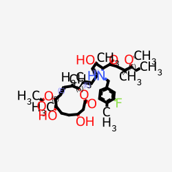 CC[C@H](OC)[C@@H](C)C1OC1C(NCc1ccc(C)c(F)c1)C(C)(O)/C=C/C=C(\C)[C@H]1OC(=O)CC(O)CCC(C)(O)[C@@H](OC(C)=O)/C=C/C1C